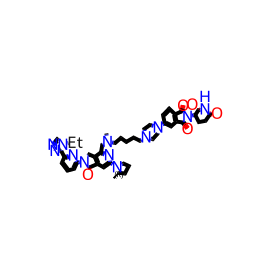 CCn1cnnc1-c1cccc(N2Cc3c(cc(N4CCC[C@H]4C)nc3CN(C)CCCCCN3CCN(c4ccc5c(c4)C(=O)N(C4CCC(=O)NC4=O)C5=O)CC3)C2=O)n1